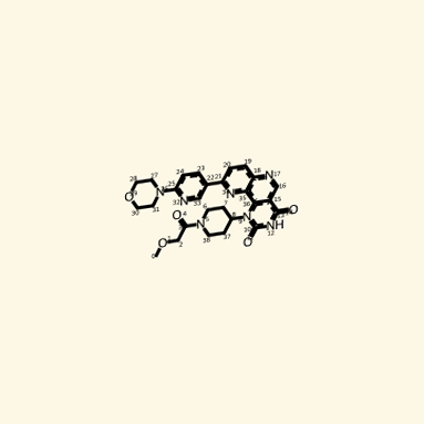 COCC(=O)N1CCC(n2c(=O)[nH]c(=O)c3cnc4ccc(-c5ccc(N6CCOCC6)nc5)nc4c32)CC1